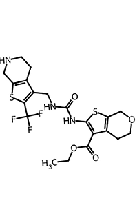 CCOC(=O)c1c(NC(=O)NCc2c(C(F)(F)F)sc3c2CCNC3)sc2c1CCOC2